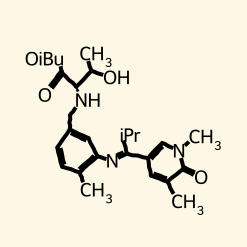 Cc1ccc(CN[C@H](C(=O)OCC(C)C)C(C)O)cc1/N=C(/c1cc(C)c(=O)n(C)c1)C(C)C